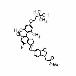 COC(=O)CC1COc2cc(O[C@@H]3CCc4c(-c5c(C)cc(OCCC(C)(C)O)cc5C)c(Cl)cc(F)c43)ccc21